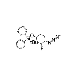 CC(C)(C)[Si](OC1CCC(N=[N+]=[N-])C(F)C1)(c1ccccc1)c1ccccc1